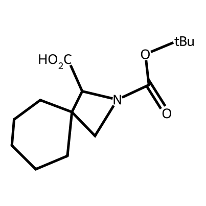 CC(C)(C)OC(=O)N1CC2(CCCCC2)C1C(=O)O